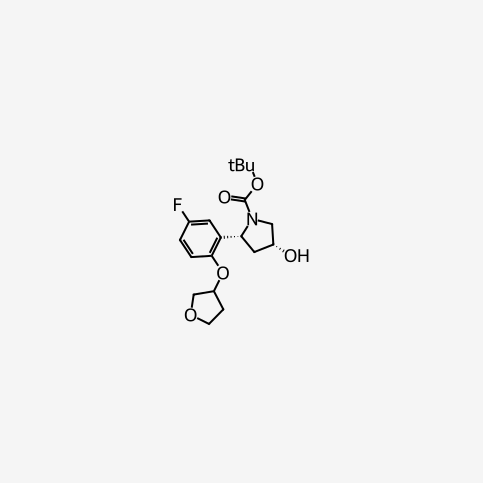 CC(C)(C)OC(=O)N1C[C@H](O)C[C@@H]1c1cc(F)ccc1OC1CCOC1